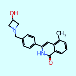 Cc1cccc2c(=O)[nH]c(-c3ccc(CN4CC(O)C4)cc3)cc12